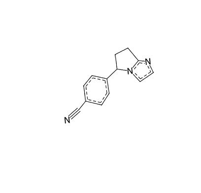 N#Cc1ccc(C2CCc3nccn32)cc1